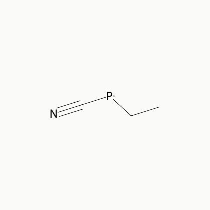 CC[P]C#N